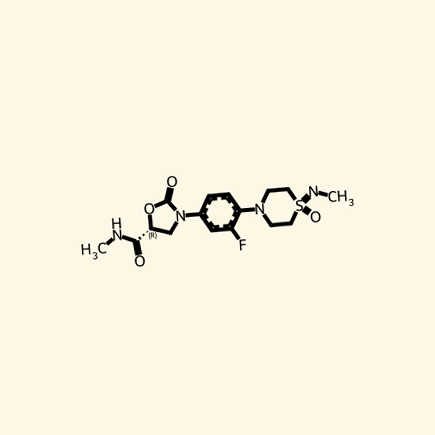 CN=S1(=O)CCN(c2ccc(N3C[C@H](C(=O)NC)OC3=O)cc2F)CC1